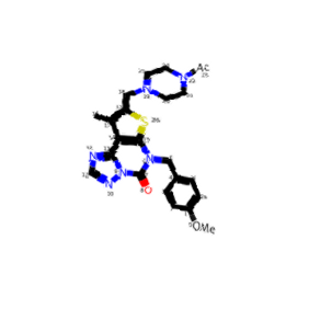 COc1ccc(Cn2c(=O)n3ncnc3c3c(C)c(CN4CCN(C(C)=O)CC4)sc32)cc1